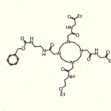 CCOCCNC(=O)CN1CCN(CC(=O)NCCNC(=O)OCc2ccccc2)CCN(CC(=O)NCC(=O)CC)CCN(CC(=O)NCC(=O)CC)CC1